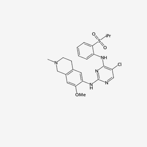 COc1cc2c(cc1Nc1ncc(Cl)c(Nc3ccccc3S(=O)(=O)C(C)C)n1)CCN(C)C2